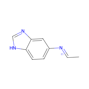 C/C=N/c1ccc2[nH]cnc2c1